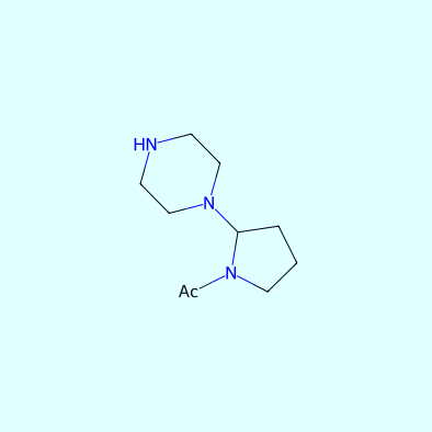 CC(=O)N1CCCC1N1CCNCC1